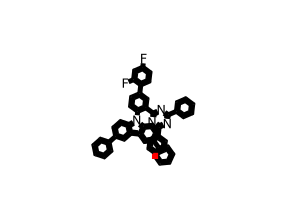 Fc1ccc(-c2ccc(-n3c4ccc(-c5ccccc5)cc4c4cc(-c5ccccc5)ccc43)c(-c3nc(-c4ccccc4)nc(-c4ccccc4)n3)c2)c(F)c1